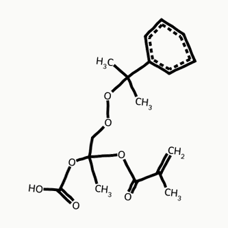 C=C(C)C(=O)OC(C)(COOC(C)(C)c1ccccc1)OC(=O)O